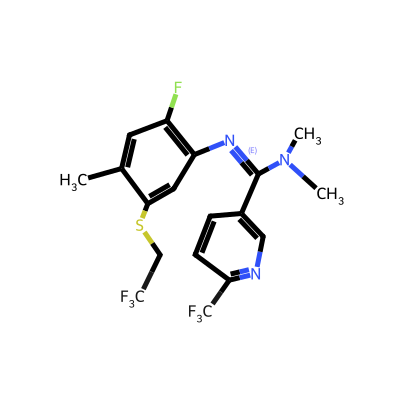 Cc1cc(F)c(/N=C(\c2ccc(C(F)(F)F)nc2)N(C)C)cc1SCC(F)(F)F